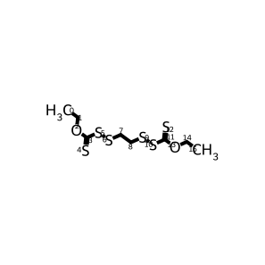 CCOC(=S)SSCCSSC(=S)OCC